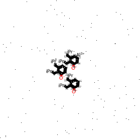 CC(C)Cc1cccc([O-])c1CC(C)C.CC(C)Cc1cccc([O-])c1CC(C)C.CC(C)Cc1cccc([O-])c1CC(C)C.[Al+3]